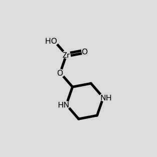 [O]=[Zr]([OH])[O]C1CNCCN1